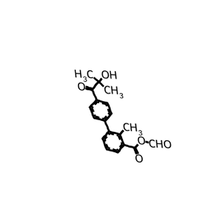 Cc1c(C(=O)OC=O)cccc1-c1ccc(C(=O)C(C)(C)O)cc1